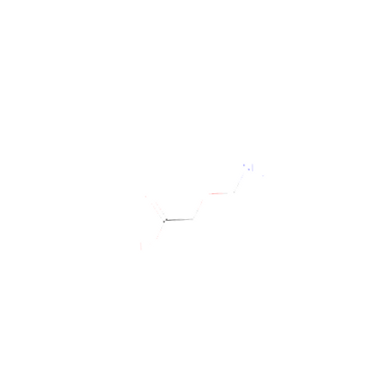 NCOCC(=O)O